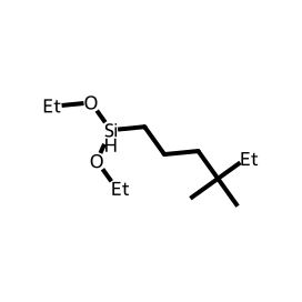 CCO[SiH](CCCC(C)(C)CC)OCC